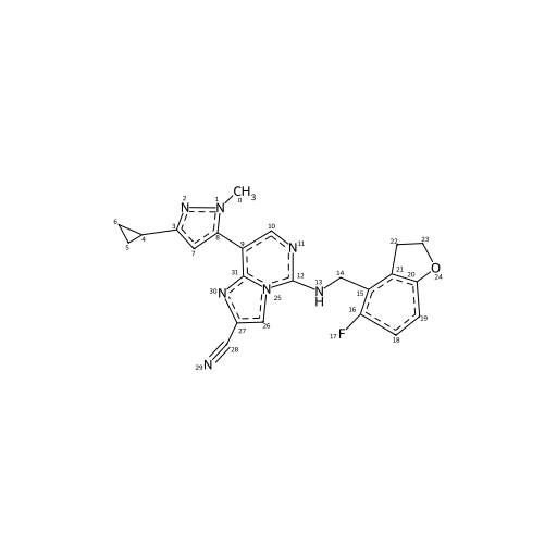 Cn1nc(C2CC2)cc1-c1cnc(NCc2c(F)ccc3c2CCO3)n2cc(C#N)nc12